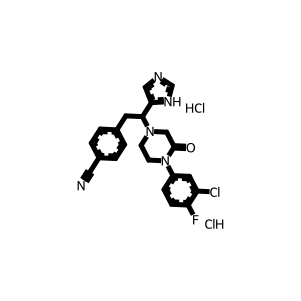 Cl.Cl.N#Cc1ccc(CC(c2cnc[nH]2)N2CCN(c3ccc(F)c(Cl)c3)C(=O)C2)cc1